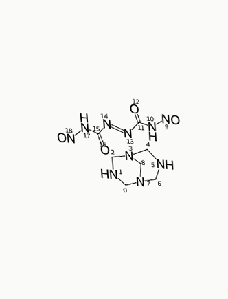 C1NCN2CNCN1C2.O=NNC(=O)N=NC(=O)NN=O